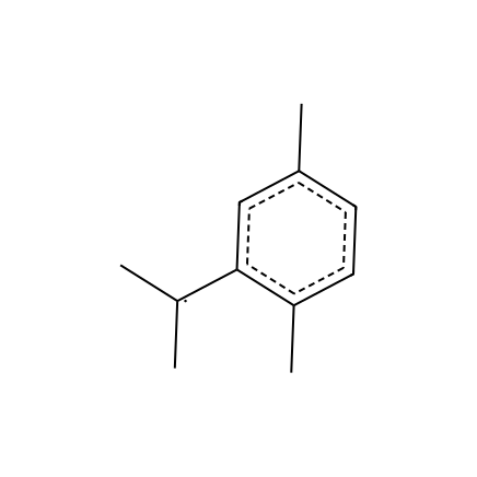 C[C](C)c1cc(C)ccc1C